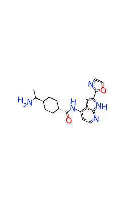 CC(N)[C@H]1CC[C@H](C(=O)Nc2ccnc3[nH]c(-c4ncco4)cc23)CC1